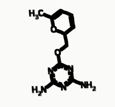 CC1=CC=CC(COc2nc(N)nc(N)n2)O1